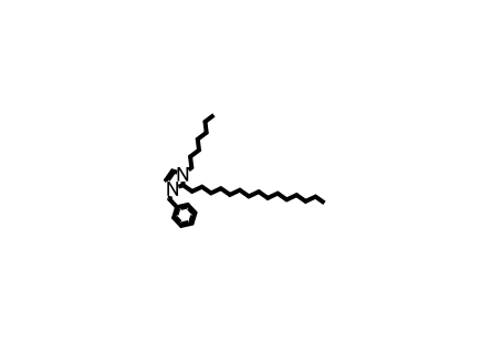 CCCCCCCCCCCCCCCC1N(CCCCCCC)C=CN1Cc1ccccc1